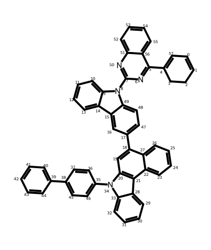 C1=CCCC(c2nc(-n3c4ccccc4c4cc(-c5cc6c(c7ccccc57)c5ccccc5n6-c5ccc(-c6ccccc6)cc5)ccc43)nc3ccccc23)=C1